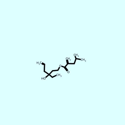 C=CCC(O)(CC)CCOC(=O)C(=C)CC(C)C